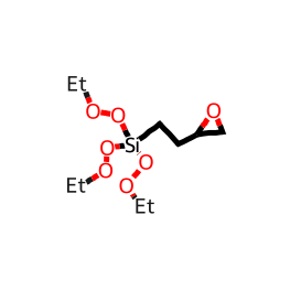 CCOO[Si](CCC1CO1)(OOCC)OOCC